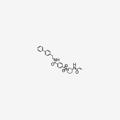 C=CC(=O)N[C@H]1CCCN(S(=O)(=O)c2ccc(C(=O)NCCc3ccc(-c4ccccc4)cc3)cc2)C1